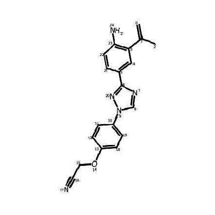 C=C(C)c1cc(-c2ncn(-c3ccc(OCC#N)cc3)n2)ccc1N